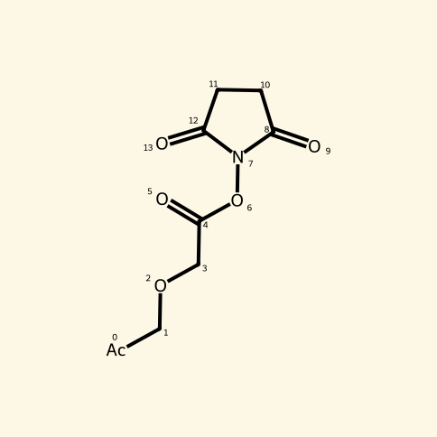 CC(=O)COCC(=O)ON1C(=O)CCC1=O